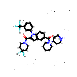 O=C(c1cc2cc(C(=O)[N+]3(C4CCNCC4)CCCCC3)ccc2n1-c1cccc(C(F)(F)F)c1)N1CCC(F)(F)CC1